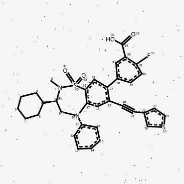 CN1[C@H](C2CCCCC2)CN(c2ccccc2)c2cc(C#Cc3ccsc3)c(-c3ccc(F)c(C(=O)O)c3)cc2S1(=O)=O